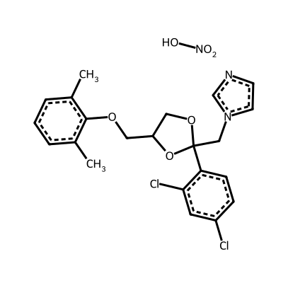 Cc1cccc(C)c1OCC1COC(Cn2ccnc2)(c2ccc(Cl)cc2Cl)O1.O=[N+]([O-])O